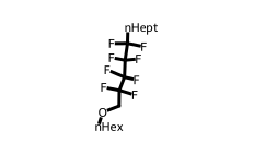 [CH2]CCCCCOCC(F)(F)C(F)(F)C(F)(F)C(F)(F)CCCCCCC